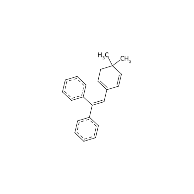 CC1(C)C=CC(C=C(c2ccccc2)c2ccccc2)=CC1